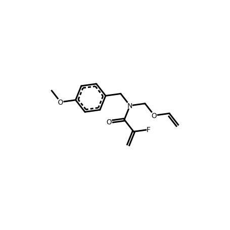 C=COCN(Cc1ccc(OC)cc1)C(=O)C(=C)F